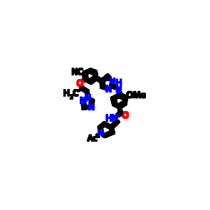 COc1cc(C(=O)NCC2CCN(C(C)=O)CC2)ccc1Nc1ncc(-c2ccc(C#N)c(O[C@@H](C)Cn3cncn3)c2)cn1